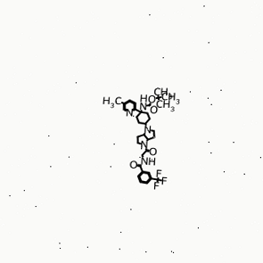 Cc1ccc(C2(NC(=O)OC(C)(C)C)CCC(N3CCC4C3CCN4C(=O)CNC(=O)c3cccc(C(F)(F)F)c3)CC2)nc1